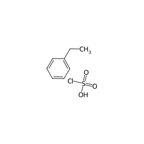 CCc1ccccc1.O=S(=O)(O)Cl